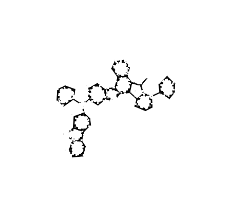 CC1c2c(-c3ccccc3)cccc2-c2c1c1ccccc1c1c2oc2cc(N(c3ccccc3)c3ccc4c(c3)oc3ccccc34)ccc21